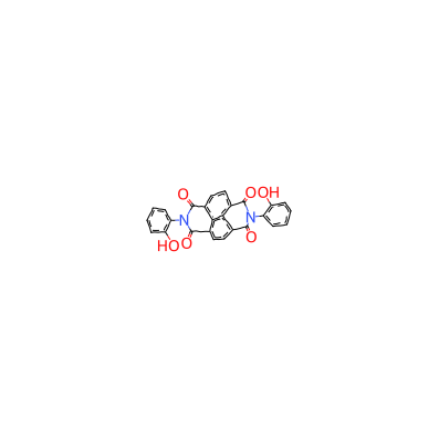 O=C1c2ccc3c4c(ccc(c24)C(=O)N1c1ccccc1O)C(=O)N(c1ccccc1O)C3=O